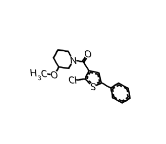 COC1CCCN(C(=O)c2cc(-c3ccccc3)sc2Cl)C1